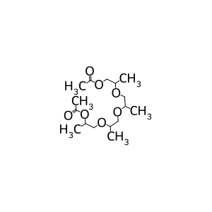 CC(=O)OCC(C)OCC(C)OCC(C)OCC(C)OC(C)=O